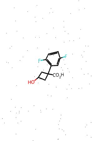 O=C(O)C1(c2cc(F)ccc2F)CC(O)C1